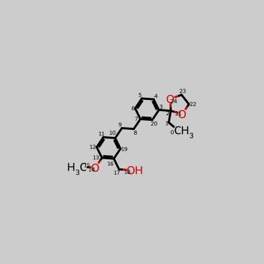 CCC1(c2cccc(CCc3ccc(OC)c(CO)c3)c2)OCCO1